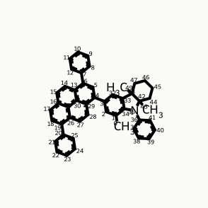 Cc1cc(-c2cc(-c3ccccc3)c3ccc4ccc(-c5ccccc5)c5ccc2c3c45)cc2c1N(c1ccccc1)C1(C)CCCCC21C